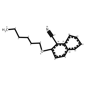 CCCCCCOc1ccc2ccccc2c1C#N